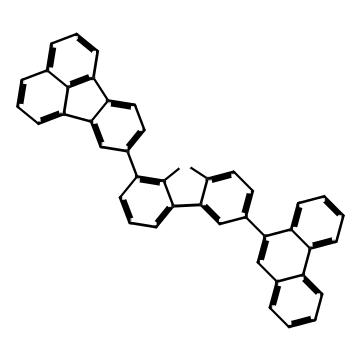 c1cc2c3c(cccc3c1)-c1cc(-c3cccc4c3oc3ccc(-c5cc6ccccc6c6ccccc56)cc34)ccc1-2